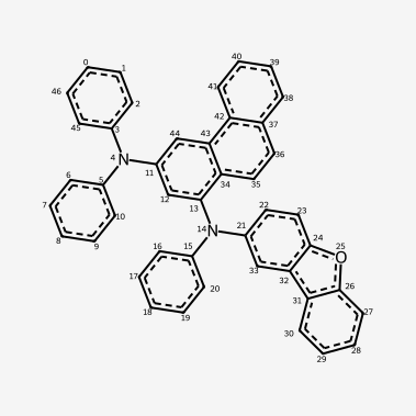 c1ccc(N(c2ccccc2)c2cc(N(c3ccccc3)c3ccc4oc5ccccc5c4c3)c3ccc4ccccc4c3c2)cc1